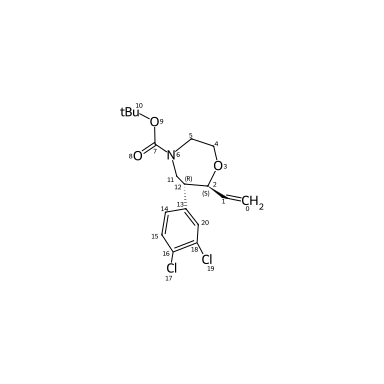 C=C[C@@H]1OCCN(C(=O)OC(C)(C)C)C[C@H]1c1ccc(Cl)c(Cl)c1